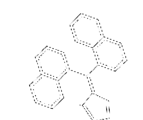 [C]1=CC=CC1=C(c1cccc2ccccc12)c1cccc2ccccc12